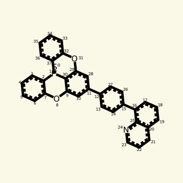 S=P12c3ccccc3Oc3cc(-c4ccc(-c5cccc6cccnc56)cc4)cc(c31)Oc1ccccc12